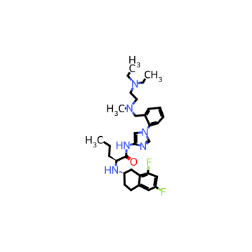 CCC[C@H](N[C@H]1CCc2cc(F)cc(F)c2C1)C(=O)Nc1cn(-c2ccccc2CN(C)CCN(CC)CC)cn1